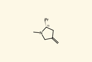 C=C1C[C@@H](C(C)C)N(C)C1